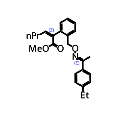 CCC/C=C(\C(=O)OC)c1ccccc1CO/N=C(\C)c1ccc(CC)cc1